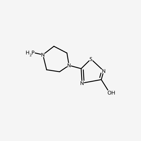 Oc1nsc(N2CCN(P)CC2)n1